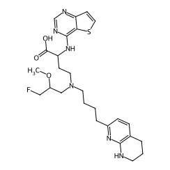 COC(CF)CN(CCCCc1ccc2c(n1)NCCC2)CCC(Nc1ncnc2ccsc12)C(=O)O